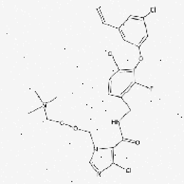 C=Cc1cc(Cl)cc(Oc2c(Cl)ccc(CNC(=O)c3c(Cl)ncn3COCC[Si](C)(C)C)c2F)c1